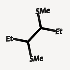 CCC(SC)C(CC)SC